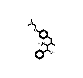 CC(Cc1ccc(OCN(C)C)cc1)C(N)C(O)c1ccccc1